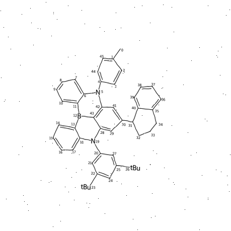 Cc1ccc(N2c3ccccc3B3c4ccccc4N(c4cc(C(C)(C)C)cc(C(C)(C)C)c4)c4cc(C5CCCc6ccccc65)cc2c43)cc1